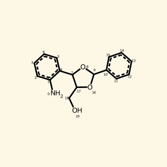 Nc1ccccc1C1OC(c2ccccc2)OC1CO